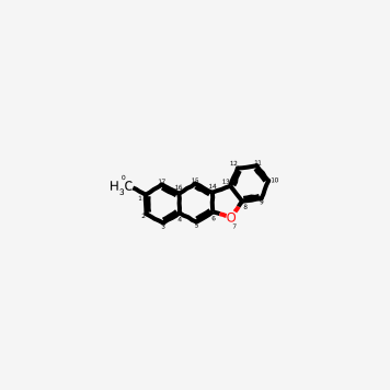 Cc1ccc2cc3oc4ccccc4c3cc2c1